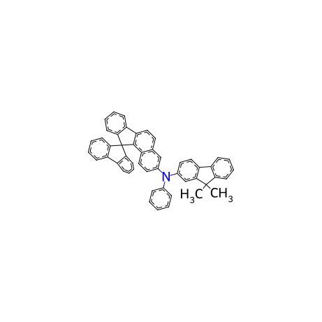 CC1(C)c2ccccc2-c2ccc(N(c3ccccc3)c3ccc4c5c(ccc4c3)-c3ccccc3C53c4ccccc4-c4ccccc43)cc21